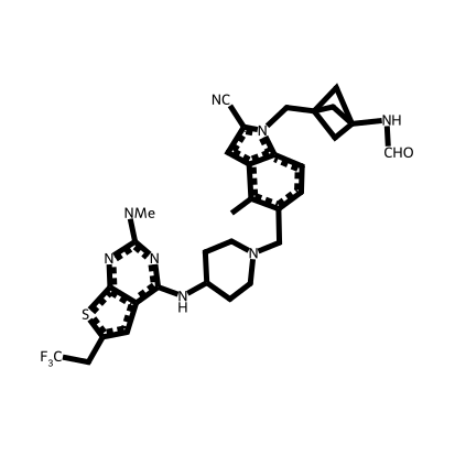 CNc1nc(NC2CCN(Cc3ccc4c(cc(C#N)n4CC45CC(NC=O)(C4)C5)c3C)CC2)c2cc(CC(F)(F)F)sc2n1